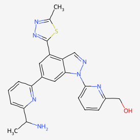 Cc1nnc(-c2cc(-c3cccc(C(C)N)n3)cc3c2cnn3-c2cccc(CO)n2)s1